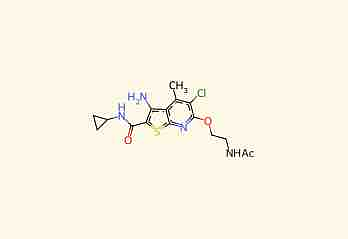 CC(=O)NCCOc1nc2sc(C(=O)NC3CC3)c(N)c2c(C)c1Cl